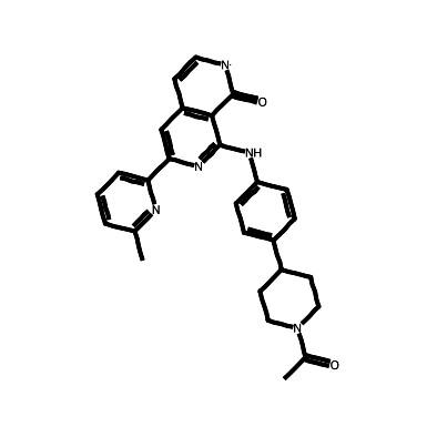 CC(=O)N1CCC(c2ccc(Nc3nc(-c4cccc(C)n4)cc4c3C(=O)[N]C=C4)cc2)CC1